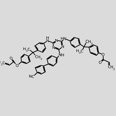 C=CC(=O)Oc1ccc(C(C)(C)c2ccc(Nc3nc(Nc4ccc(-c5ccc(C#N)cc5)cc4)nc(Nc4ccc(C(C)(C)c5ccc(OC(=O)C=C)cc5)cc4)n3)cc2)cc1